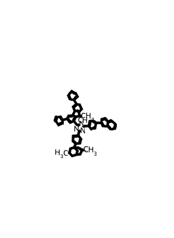 CC1CC2CC(C)CC(c3ccc(-c4nc(-c5ccc(-c6ccc7ccccc7c6)cc5)nc(-c5cc(-c6ccccc6)cc6c5C(C)(C)c5ccc(-c7ccccc7)cc5-6)n4)cc3)(C1)C2